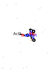 CC(=O)OCCOCCN1CCN(C(=O)C(Cc2nc3ccccc3s2)NS(=O)(=O)c2cccc3c2NCC(C)(C)C3)CC1